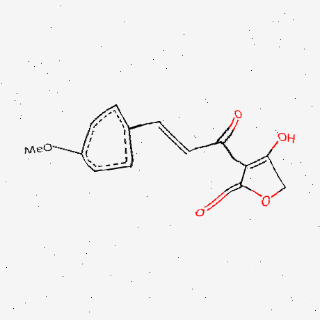 COc1ccc(/C=C/C(=O)C2=C(O)COC2=O)cc1